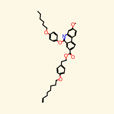 C=CCCCCCCOc1ccc(CCOC(=O)c2ccc3c(c2)c(Oc2ccc(OCCCCCC)cc2)nc2cc(OC)ccc23)cc1